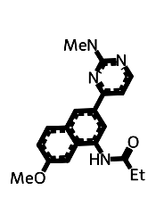 CCC(=O)Nc1cc(-c2ccnc(NC)n2)cc2ccc(OC)cc12